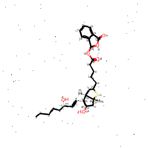 CCCCC[C@H](O)/C=C/[C@@H]1[C@H]2CC(CCCCC(=O)OC3OC(=O)c4ccccc43)S[C@@H]2C[C@H]1O